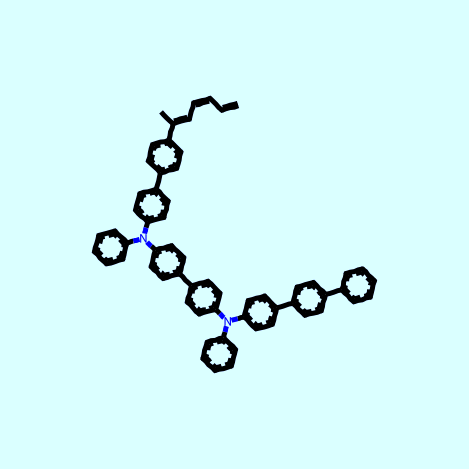 C=C/C=C\C=C(/C)c1ccc(-c2ccc(N(c3ccccc3)c3ccc(-c4ccc(N(c5ccccc5)c5ccc(-c6ccc(-c7ccccc7)cc6)cc5)cc4)cc3)cc2)cc1